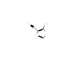 N#Cc1ncoc1Br